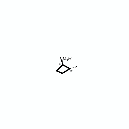 C[C@@H]1CC[C@H]1C(=O)O